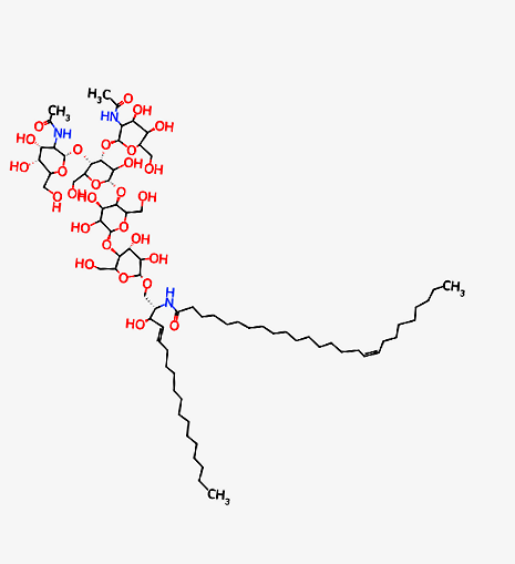 CCCCCCCC/C=C\CCCCCCCCCCCCCCCC(=O)N[C@@H](CO[C@@H]1OC(CO)[C@@H](O[C@@H]2OC(CO)[C@H](O[C@@H]3OC(CO)[C@H](O[C@@H]4OC(CO)[C@H](O)[C@H](O)C4NC(C)=O)[C@H](O[C@@H]4OC(CO)[C@H](O)[C@H](O)C4NC(C)=O)C3O)[C@H](O)C2O)[C@H](O)C1O)[C@H](O)/C=C/CCCCCCCCCCCCC